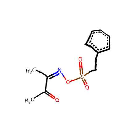 CC(=O)C(C)=NOS(=O)(=O)Cc1ccccc1